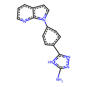 Nc1nnc(-c2ccc(-n3ccc4c[c]cnc43)cc2)[nH]1